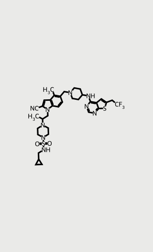 Cc1c(CN2CCC(Nc3ncnc4sc(CC(F)(F)F)cc34)CC2)ccc2c1cc(C#N)n2CC(C)N1CCN(S(=O)(=O)NCC2CC2)CC1